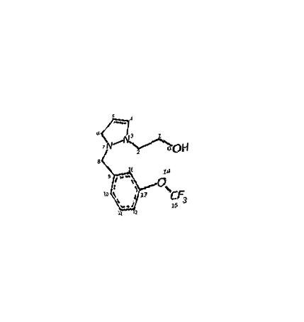 OCCN1C=CCN1Cc1cccc(OC(F)(F)F)c1